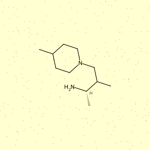 CC1CCN(CC(C)[C@H](C)N)CC1